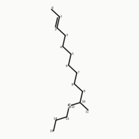 CC=CCCCCCCCC(C)SCCC